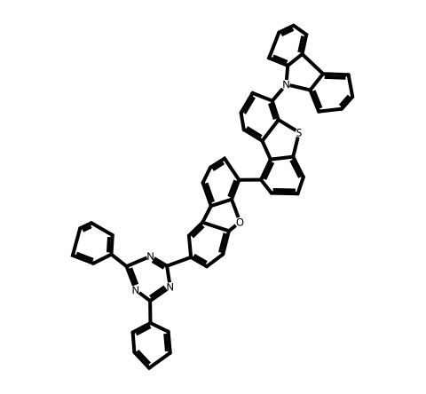 c1ccc(-c2nc(-c3ccccc3)nc(-c3ccc4oc5c(-c6cccc7sc8c(-n9c%10ccccc%10c%10ccccc%109)cccc8c67)cccc5c4c3)n2)cc1